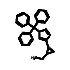 NCC1CC1c1cn(C(c2ccccc2)(c2ccccc2)c2ccccc2)cn1